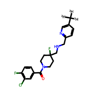 [2H]C([2H])([2H])c1ccc(CNCC2(F)CCN(C(=O)c3ccc(F)c(Cl)c3)CC2)nc1